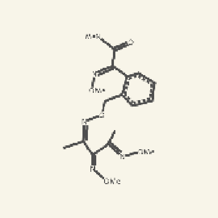 CNC(=O)/C(=N/OC)c1ccccc1CO\N=C(C)/C(=N/OC)C(/C)=N/OC